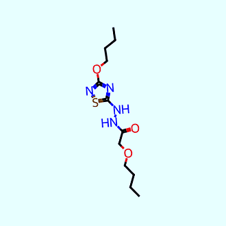 CCCCOCC(=O)NNc1nc(OCCCC)ns1